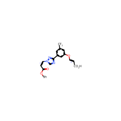 CC(C)OC(=O)/C=C\n1cnc(-c2cc(O/C=C/C(=O)O)cc(C(F)(F)F)c2)n1